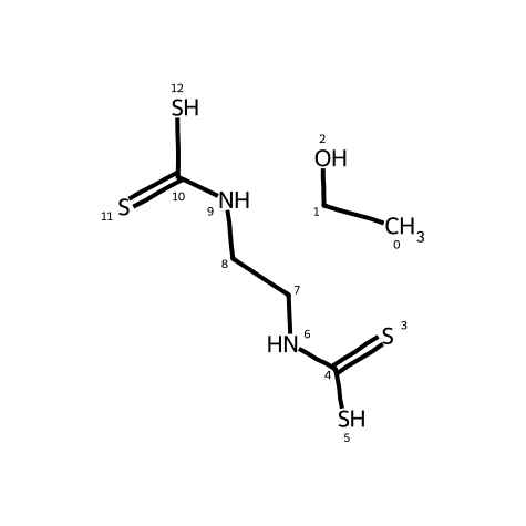 CCO.S=C(S)NCCNC(=S)S